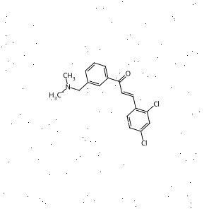 CN(C)Cc1cccc(C(=O)C=Cc2ccc(Cl)cc2Cl)c1